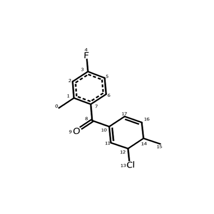 Cc1cc(F)ccc1C(=O)C1=CC(Cl)C(C)C=C1